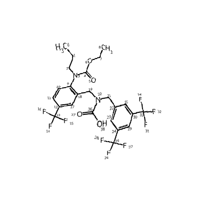 CCCN(C(=O)OCC)c1ccc(C(F)(F)F)cc1CN(Cc1cc(C(F)(F)F)cc(C(F)(F)F)c1)C(=O)O